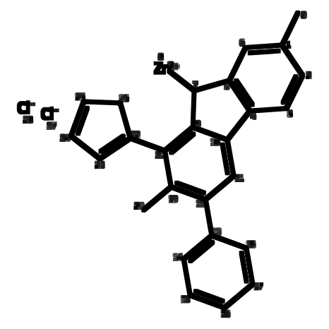 Cc1ccc2c(c1)[CH]([Zr+2])c1c-2cc(-c2ccccc2)c(C)c1C1=CC=CC1.[Cl-].[Cl-]